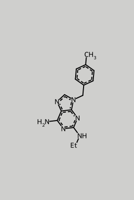 CCNc1nc(N)c2ncn(Cc3ccc(C)cc3)c2n1